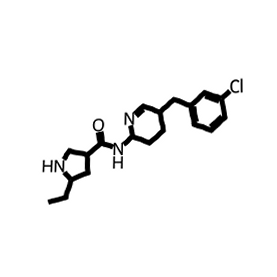 CCC1CC(C(=O)NC2CCC(Cc3cccc(Cl)c3)C=N2)CN1